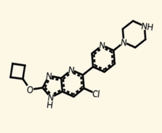 Clc1cc2[nH]c(OC3CCC3)nc2nc1-c1ccc(N2CCNCC2)nc1